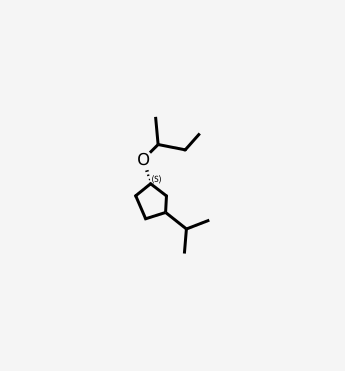 CCC(C)O[C@H]1CCC(C(C)C)C1